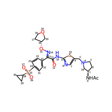 CC(=O)N[C@@H]1CCN(Cc2cnc(NC(=O)/C(=N/O[C@@H]3CCOC3)c3ccc(S(=O)(=O)C4CC4)cc3)s2)C1